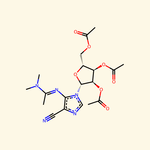 CC(=O)OC[C@H]1O[C@@H](n2cnc(C#N)c2N=C(C)N(C)C)[C@H](OC(C)=O)[C@@H]1OC(C)=O